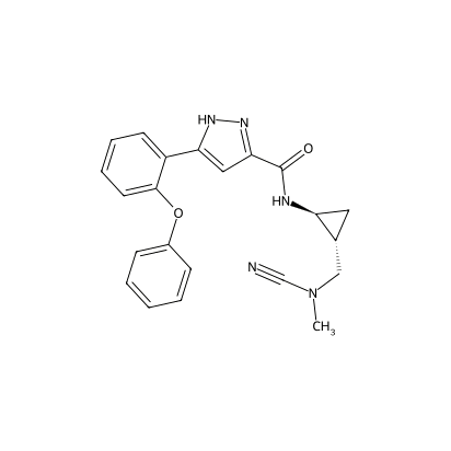 CN(C#N)C[C@H]1C[C@@H]1NC(=O)c1cc(-c2ccccc2Oc2ccccc2)[nH]n1